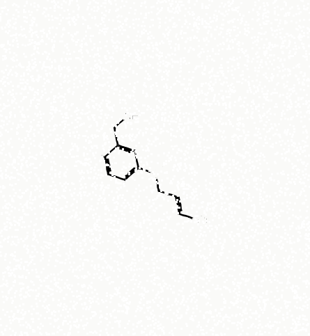 CCCC=CCOc1cccc(CN)c1